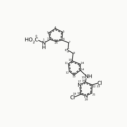 O=C(O)Nc1cccc(CSCc2cccc(Nc3nc(Cl)ncc3Cl)c2)c1